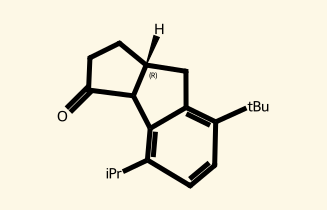 CC(C)c1ccc(C(C)(C)C)c2c1C1C(=O)CC[C@@H]1C2